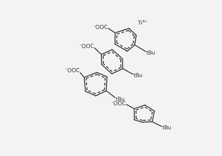 CC(C)(C)c1ccc(C(=O)[O-])cc1.CC(C)(C)c1ccc(C(=O)[O-])cc1.CC(C)(C)c1ccc(C(=O)[O-])cc1.CC(C)(C)c1ccc(C(=O)[O-])cc1.[Ti+4]